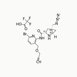 C#CCOCc1ccc(Br)nc1NC(=O)[C@@H]1C[C@@]2(CN=[N+]=[N-])C[C@H]2N1.O=C(O)C(F)(F)F